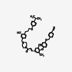 Cc1cc(/C=C/C(=O)N2CCN(Cc3ccc(CCCOc4ccc(C(C)C)cc4)cc3)CC2)cc(Cl)c1Oc1ccc(OCc2ccc(C#N)cc2)cn1.Cl